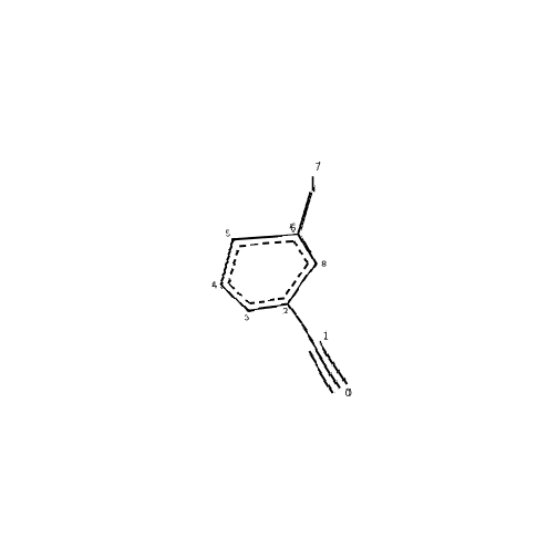 C#Cc1c[c]cc(I)c1